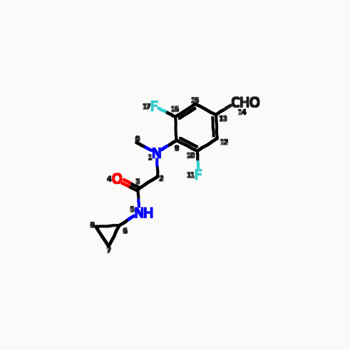 CN(CC(=O)NC1CC1)c1c(F)cc(C=O)cc1F